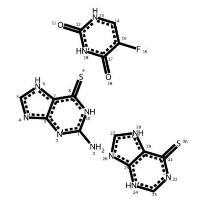 Nc1nc2nc[nH]c2c(=S)[nH]1.O=c1[nH]cc(F)c(=O)[nH]1.S=c1nc[nH]c2nc[nH]c12